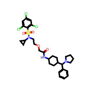 O=C(COCCN(C1CC1)S(=O)(=O)c1c(Cl)cc(Cl)cc1Cl)NC1CCC(C(c2ccccc2)N2CCCC2)CC1